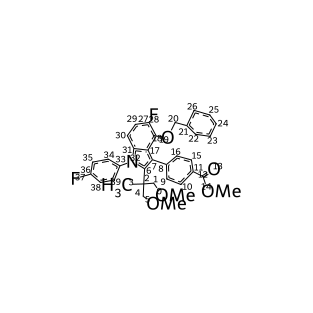 COCC(C)(COC)c1c(-c2ccc(C(=O)OC)cc2)c2c(OCc3ccccc3)c(F)ccc2n1-c1ccc(F)cc1